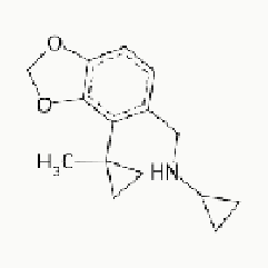 CC1(c2c(CNC3CC3)ccc3c2OCO3)CC1